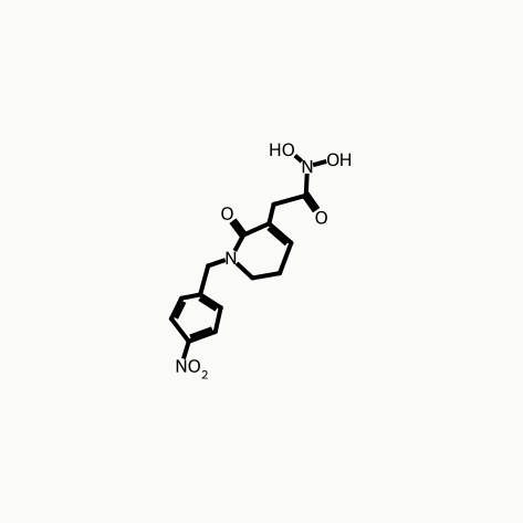 O=C(CC1=CCCN(Cc2ccc([N+](=O)[O-])cc2)C1=O)N(O)O